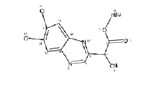 CCCCOC(=O)C(C#N)c1cnc2cc(Cl)c(Cl)cc2n1